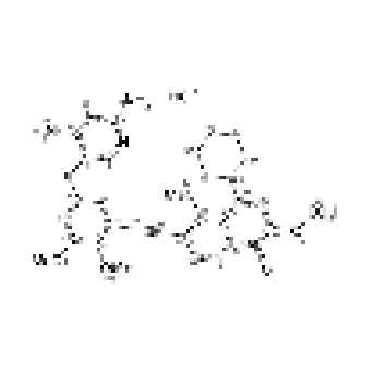 COc1cc(Cc2cnc(N)nc2N)cc(C#Cc2ccc3c(=O)c(OC(=O)O)cn(C4CCCCC4)c3c2OC)c1OC.Cl